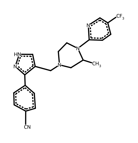 CC1CN(Cc2c[nH]nc2-c2ccc(C#N)cc2)CCN1c1ccc(C(F)(F)F)cn1